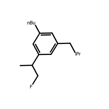 CCCCc1cc(CC(C)C)cc([C](C)CF)c1